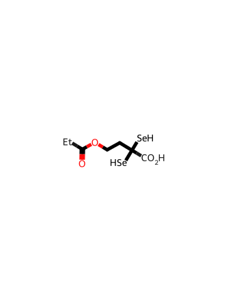 CCC(=O)OCCC([SeH])([SeH])C(=O)O